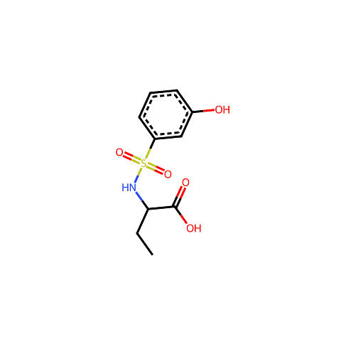 CCC(NS(=O)(=O)c1cccc(O)c1)C(=O)O